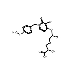 COc1ccc(Cn2ncc(OC(C)COCC(O)C(=O)O)c(Br)c2=O)cc1